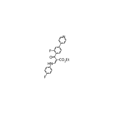 CCOC(=O)/C(=C/Nc1ccc(F)cc1)C(=O)c1ccc(-c2ccncc2)cc1F